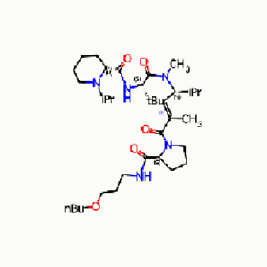 CCCCOCCCNC(=O)[C@@H]1CCCN1C(=O)/C(C)=C/[C@H](C(C)C)N(C)C(=O)[C@@H](NC(=O)[C@H]1CCCCN1C(C)C)C(C)(C)C